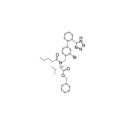 CCCCC(=O)N(Cc1ccc(-c2ccccc2-c2nnn[nH]2)cc1Br)[C@H](C(=O)OCc1ccccc1)C(C)C